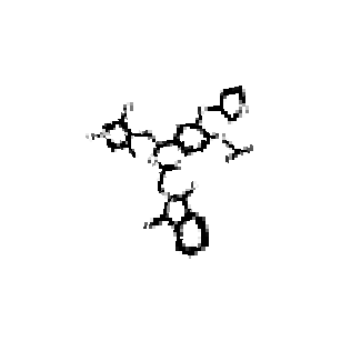 O=C(CN1C(=O)c2ccccc2C1=O)O[C@@H](Cc1c(Cl)c[n+]([O-])cc1Cl)c1ccc(OC(F)F)c(OC2CCOC2)c1